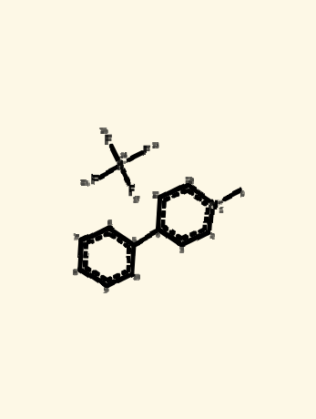 C[n+]1ccc(-c2ccccc2)cc1.F[B-](F)(F)F